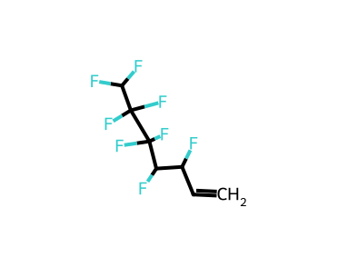 C=CC(F)C(F)C(F)(F)C(F)(F)C(F)F